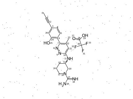 CC#Cc1ccc(-c2nnc(N[C@@H]3CCCN(C(=N)N)C3)cc2C)c(O)c1.O=C(O)C(F)(F)F